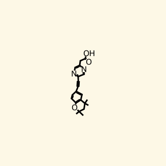 CC1(C)CC(C)(C)c2cc(C#Cc3cnc(CC(=O)O)cn3)ccc2O1